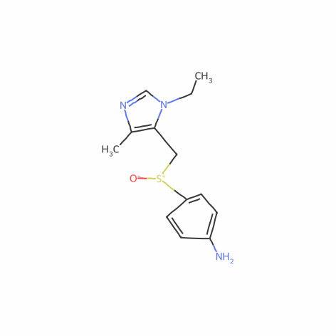 CCn1cnc(C)c1C[S+]([O-])c1ccc(N)cc1